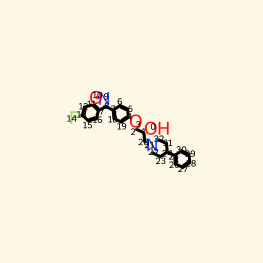 OC(COc1ccc(-c2noc3cc(F)ccc23)cc1)CN1CCC(c2ccccc2)CC1